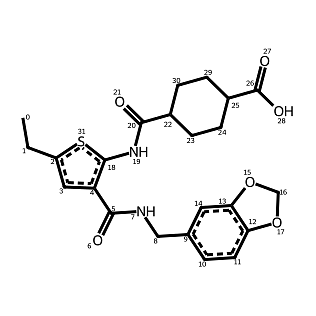 CCc1cc(C(=O)NCc2ccc3c(c2)OCO3)c(NC(=O)C2CCC(C(=O)O)CC2)s1